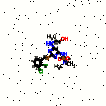 C[C@H](CO)Nc1cc(NS(=O)(=O)N(C)C)nc(SCc2cccc(Cl)c2F)n1